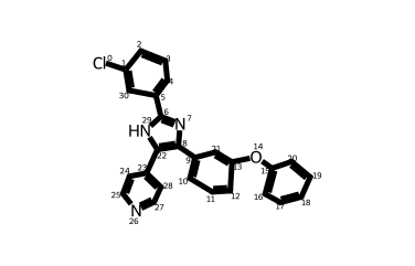 Clc1cccc(-c2nc(-c3cccc(Oc4ccccc4)c3)c(-c3ccncc3)[nH]2)c1